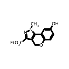 CCOC(=O)c1nn(C)c2c1COc1ccc(O)cc1-2